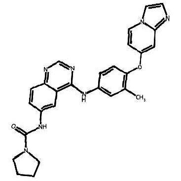 Cc1cc(Nc2ncnc3ccc(NC(=O)N4CCCC4)cc23)ccc1Oc1ccn2ccnc2c1